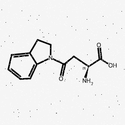 N[C@@H](CC(=O)N1CCc2ccccc21)C(=O)O